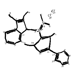 CC1=[C]([Zr+2]([CH]2C(C)=C(C)c3ccccc32)=[Si](C)C)C(C)C=C1c1ccccc1.[Cl-].[Cl-]